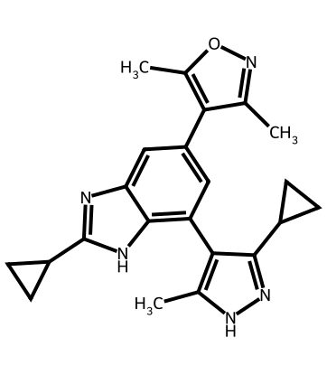 Cc1noc(C)c1-c1cc(-c2c(C3CC3)n[nH]c2C)c2[nH]c(C3CC3)nc2c1